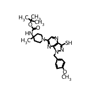 COc1ccc(Cn2nc(S)c3ncc(N4CCC(C)(NC(=O)OC(C)(C)C)CC4)nc32)cc1